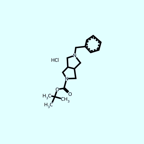 CC(C)(C)OC(=O)N1CC2CN(Cc3ccccc3)CC2C1.Cl